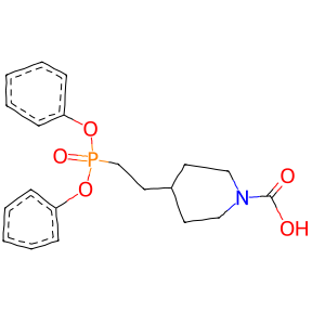 O=C(O)N1CCC(CCP(=O)(Oc2ccccc2)Oc2ccccc2)CC1